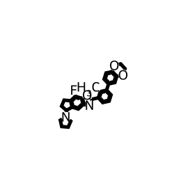 Cc1c(-c2ccc3c(c2)OCCO3)cccc1-c1nc2cc3c(c(F)c2o1)CCC3N1CCCC1